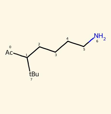 CC(=O)C(CCCCN)C(C)(C)C